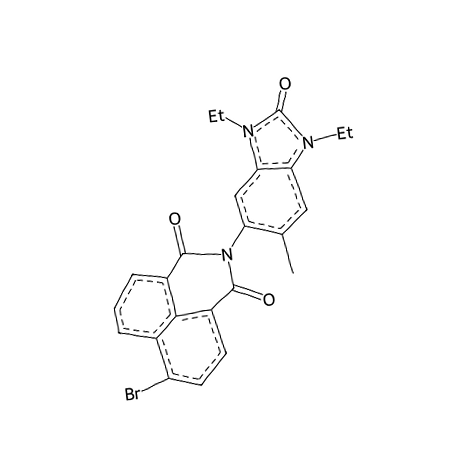 CCn1c(=O)n(CC)c2cc(N3C(=O)c4cccc5c(Br)ccc(c45)C3=O)c(C)cc21